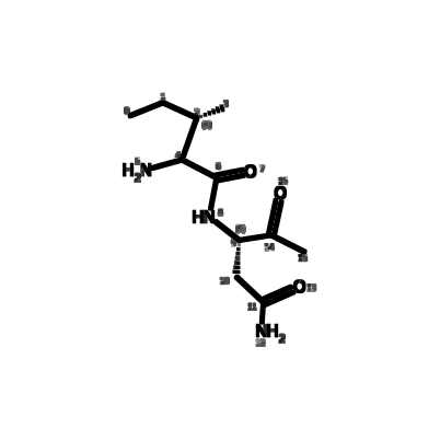 CC[C@H](C)C(N)C(=O)N[C@@H](CC(N)=O)C(C)=O